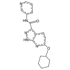 O=C(Nc1cccnc1)c1n[nH]c2nc(OC3CCCCC3)ccc12